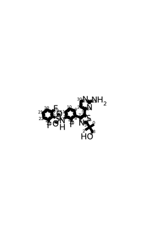 CC(C)(CO)c1nc(-c2cccc(NS(=O)(=O)c3c(F)cccc3F)c2F)c(-c2ccnc(N)n2)s1